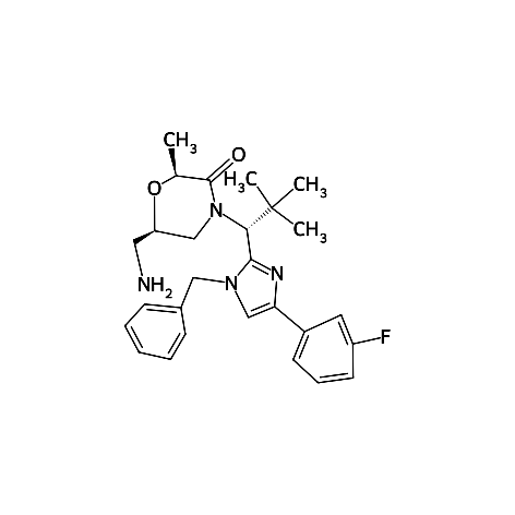 C[C@@H]1O[C@H](CN)CN([C@@H](c2nc(-c3cccc(F)c3)cn2Cc2ccccc2)C(C)(C)C)C1=O